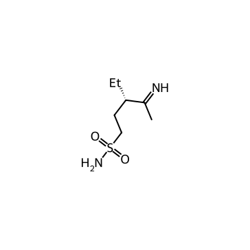 CC[C@@H](CCS(N)(=O)=O)C(C)=N